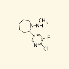 CNN1CCCCCC1c1cnc(Cl)c(F)c1